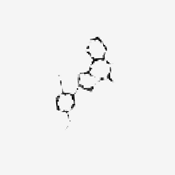 COc1ccc(F)c(-c2cn3c(=O)[nH]c4ccncc4c3n2)c1